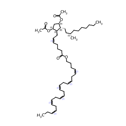 CC/C=C\C/C=C\C/C=C\C/C=C\C/C=C\C/C=C\CCCOC(=O)CCC/C=C\C[C@@H]1[C@@H](CC[C@@H](C)CCCCCCC)[C@H](OC(C)=O)C[C@@H]1OC(C)=O